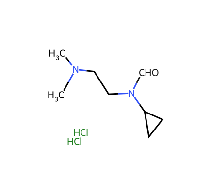 CN(C)CCN(C=O)C1CC1.Cl.Cl